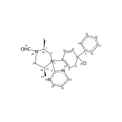 C[C@H]1C[N+](C2=CCC(Cl)(c3ccccc3)C=C2)(c2ncccn2)[C@@H](C)CN1C=O